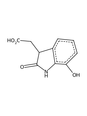 O=C(O)CC1C(=O)Nc2c(O)cccc21